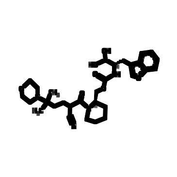 CC(C)(CCC(C#N)C(=O)N1CCCC[C@@H]1COC(=O)N[C@@H](Cc1coc2ccccc12)B(O)O)N1CCOCC1